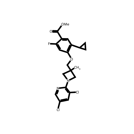 COC(=O)c1cc(C2CC2)c(OCC2(C)CN(c3ncc(Cl)cc3Cl)C2)cc1F